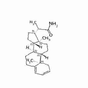 CC(C(N)=O)[C@H]1CC[C@H]2[C@@H]3CCC4=CC=CC[C@]4(C)[C@H]3CC[C@]12C